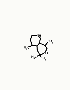 CC1CNC(C)(C)CC2C(C)CCNCC12